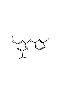 COc1cc(Oc2cccc(F)c2)nc(C(C)C)n1